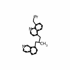 CC(C)Cc1cccc2c(CC(C)Cc3cccc4ccncc34)ccnc12